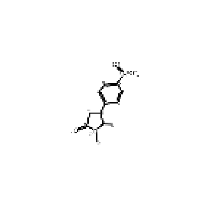 CC1C(c2ccc([N+](=O)[O-])cc2)CC(=O)N1C